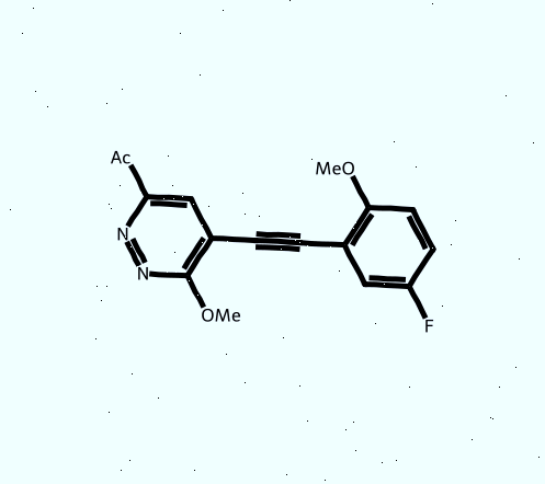 COc1ccc(F)cc1C#Cc1cc(C(C)=O)nnc1OC